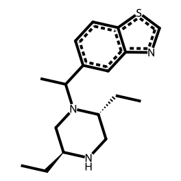 CC[C@H]1CN(C(C)c2ccc3scnc3c2)[C@H](CC)CN1